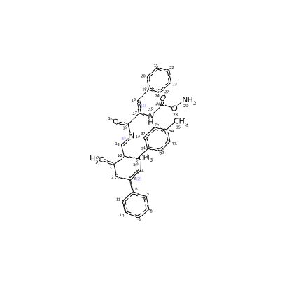 C=C(S/C(=C\C)c1ccccc1)C(/C=N/C(=O)/C(=C/c1ccccc1)NC(=O)ON)Cc1ccc(C)cc1